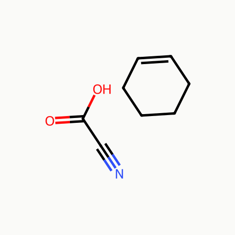 C1=CCCCC1.N#CC(=O)O